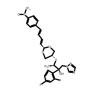 C[C@@H](S[C@H]1CO[C@H](/C=C/C=C/c2ccc([S+]([O-])C(F)(F)F)cc2)OC1)[C@](O)(Cn1cncn1)c1ccc(F)cc1F